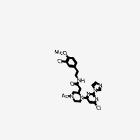 COc1ccc(CCNC(=O)CC2CN(C(C)=O)CCN2c2cc(Cl)nc(-n3ccnc3)n2)cc1Cl